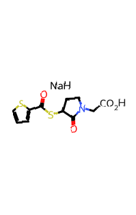 O=C(O)CN1CCC(SC(=O)c2cccs2)C1=O.[NaH]